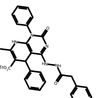 CCOC(=O)C1=C(C)Nc2c(c(NNC(=O)Cc3ccccc3)nc(=O)n2-c2ccccc2)C1c1ccccc1